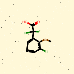 CSc1c(Cl)cccc1C(F)(F)C(=O)O